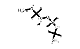 C[SiH](O[Si](C)(C)OC(C)(C)[SiH3])C(C)(C)O[SiH3]